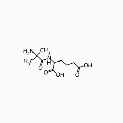 CC(C)(N)C(=O)N[C@@H](CCCC(=O)O)C(=O)O